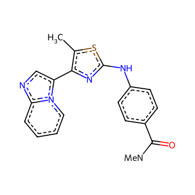 CNC(=O)c1ccc(Nc2nc(-c3cnc4ccccn34)c(C)s2)cc1